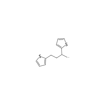 [CH2]C(CCc1cccs1)c1cccs1